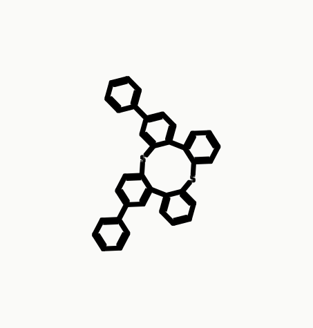 c1ccc(-c2ccc3c(c2)Sc2ccc(-c4ccccc4)cc2-c2ccccc2Sc2ccccc2-3)cc1